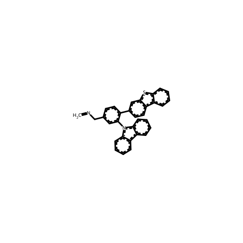 C=NCc1ccc(-c2ccc3c(c2)sc2ccccc23)c(-n2c3ccccc3c3ccccc32)c1